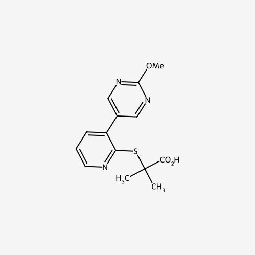 COc1ncc(-c2cccnc2SC(C)(C)C(=O)O)cn1